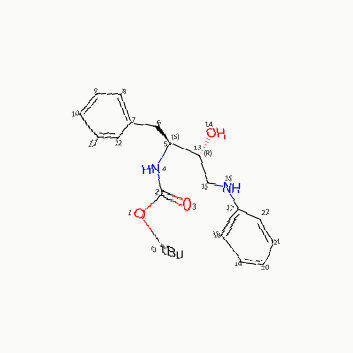 CC(C)(C)OC(=O)N[C@@H](Cc1ccccc1)[C@H](O)CNc1ccccc1